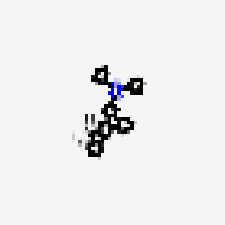 CC1(C)c2ccccc2-c2cc3c4ccccc4c4cc(-c5nc(-c6ccccc6)nc(-c6ccccc6)n5)ccc4c3cc21